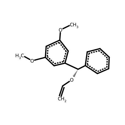 C=CO[C@@H](c1ccccc1)c1cc(OC)cc(OC)c1